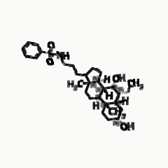 CC[C@H]1[C@@H](O)[C@@H]2[C@H](CC[C@]3(C)C(CCCNS(=O)(=O)c4ccccc4)CC[C@@H]23)[C@@]2(C)CC[C@@H](O)C[C@@H]12